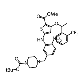 COC(=O)c1sc(Nc2cc(CN3CCN(C(=O)OC(C)(C)C)CC3)ccc2[N+](=O)[O-])cc1OC(C)c1ccccc1C(F)(F)F